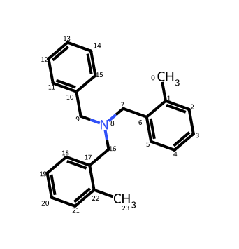 Cc1ccccc1CN(Cc1ccccc1)Cc1ccccc1C